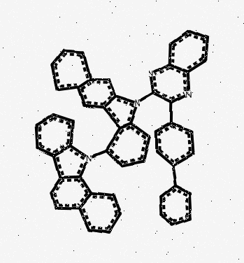 c1ccc(-c2ccc(-c3nc4ccccc4nc3-n3c4cc5ccccc5cc4c4c(-n5c6ccccc6c6ccc7ccccc7c65)cccc43)cc2)cc1